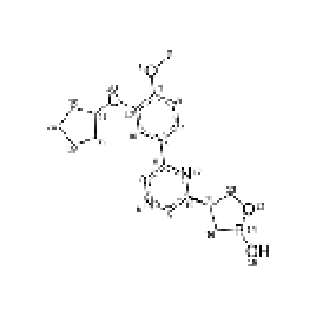 COc1ccc(-c2cncc([C@H]3COB(O)C3)n2)cc1OC1CCCC1